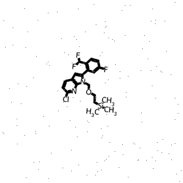 C[Si](C)(C)CCOCn1c(-c2cc(F)ccc2C(F)F)cc2ccc(Cl)nc21